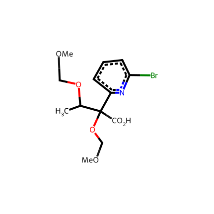 COCOC(C)C(OCOC)(C(=O)O)c1cccc(Br)n1